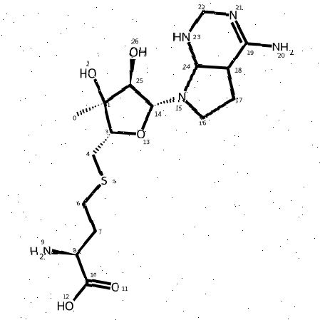 C[C@@]1(O)[C@@H](CSCC[C@H](N)C(=O)O)O[C@@H](N2CCC3C(N)=NCNC32)[C@@H]1O